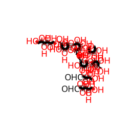 O=C[C@@H](O)[C@H](O)[C@H](O)CO.O=C[C@H](O)[C@@H](O)[C@@H](O)[C@H](O)CO.OC1OC[C@@H](O)[C@H](O)[C@H]1O.OC[C@@H](O)[C@@H](O)[C@H](O)[C@H](O)CO.OC[C@H]1O[C@@](CO)(O[C@H]2O[C@H](CO)[C@@H](O)[C@H](O)[C@H]2O)[C@@H](O)[C@@H]1O.OC[C@H]1O[C@H](O[C@H]2O[C@H](CO)[C@@H](O)[C@H](O)[C@H]2O)[C@H](O)[C@@H](O)[C@@H]1O